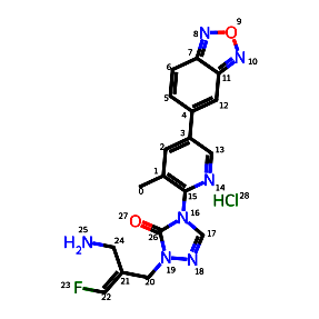 Cc1cc(-c2ccc3nonc3c2)cnc1-n1cnn(C/C(=C/F)CN)c1=O.Cl